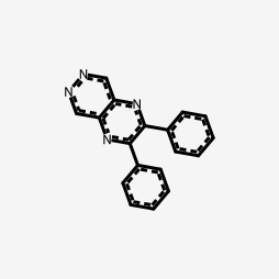 c1ccc(-c2nc3cnncc3nc2-c2ccccc2)cc1